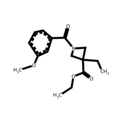 CCOC(=O)C1(CC)CN(C(=O)c2cccc(OC)c2)C1